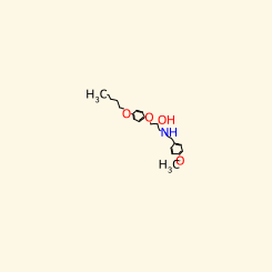 CCCCCCOc1ccc(OCC(O)CNCCc2ccc(OC)cc2)cc1